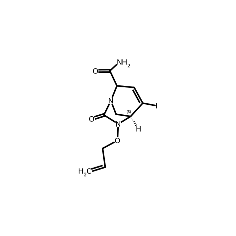 C=CCON1C(=O)N2C[C@H]1C(I)=CC2C(N)=O